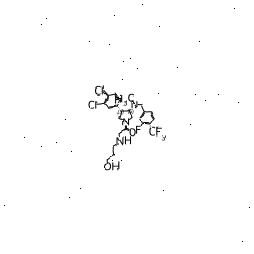 CN(Cc1ccc(C(F)(F)F)c(F)c1)[C@@H]1CN(C(=O)CNCCCO)C[C@@H]1c1ccc(Cl)c(Cl)c1